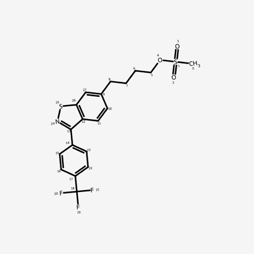 CS(=O)(=O)OCCCCc1ccc2c(-c3ccc(C(F)(F)F)cc3)nsc2c1